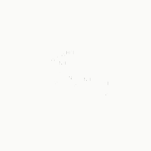 CC(NCc1ccc(Cl)c(Cl)c1)C(=O)N1CCC(CNS(C)(=O)=O)(c2ccccc2)C(OCc2ccccc2)C1.Cl